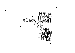 CCCCCCCCCCSCC(CCCNC(=N)NC(=N)N(CC)CC)CNC(=N)NC(=N)N(CC)CC